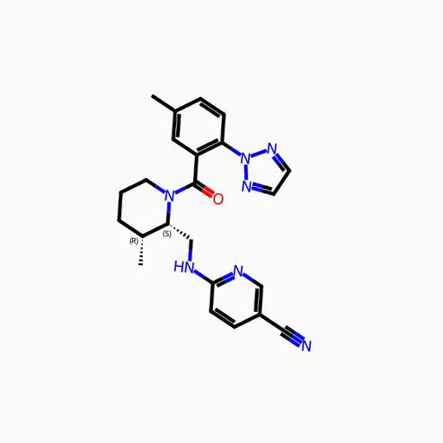 Cc1ccc(-n2nccn2)c(C(=O)N2CCC[C@@H](C)[C@H]2CNc2ccc(C#N)cn2)c1